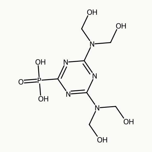 O=P(O)(O)c1nc(N(CO)CO)nc(N(CO)CO)n1